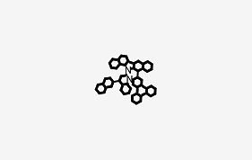 c1ccc2cc(-c3cc(-n4c5c(-c6ccc7c8ccccc8c8ccccc8c7c6)c6ccccc6cc5c5ccc6ccccc6c54)nc4ccccc34)ccc2c1